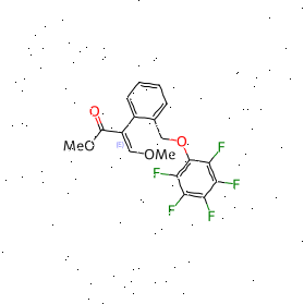 CO/C=C(/C(=O)OC)c1ccccc1COc1c(F)c(F)c(F)c(F)c1F